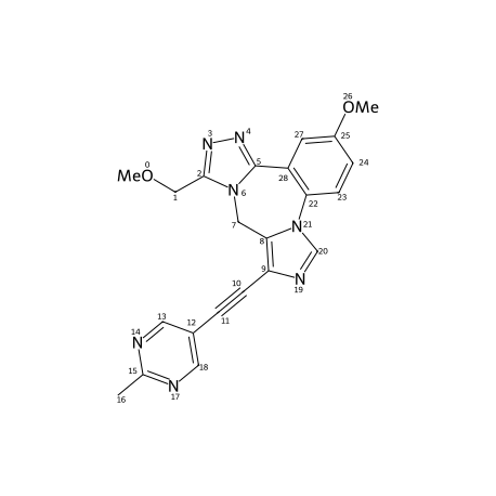 COCc1nnc2n1Cc1c(C#Cc3cnc(C)nc3)ncn1-c1ccc(OC)cc1-2